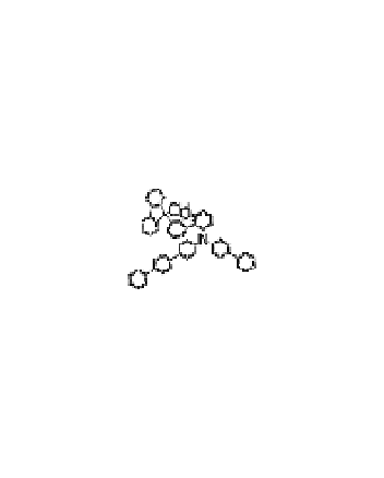 CC1(c2cccc3c2oc2cccc(N(c4ccc(-c5ccccc5)cc4)c4ccc(-c5ccc(-c6ccccc6)cc5)cc4)c23)c2ccccc2-c2ccccc21